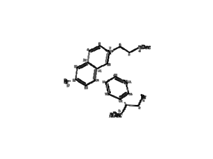 CCCCCCCCCCCCBr.CCCCCCCCCCCC[n+]1ccc2ccccc2c1.[Br-].c1ccncc1